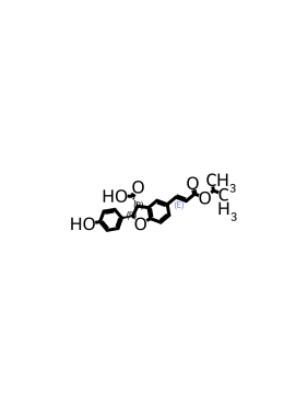 CC(C)OC(=O)/C=C/c1ccc2c(c1)[C@@H](C(=O)O)[C@H](c1ccc(O)cc1)O2